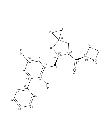 O=C([C@H]1CCO1)N1CC2(CC2)C[C@@H]1Cc1cc(F)cc(-c2ccccc2)c1F